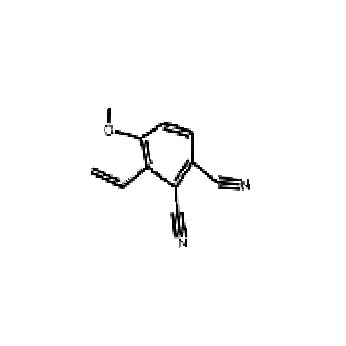 C=Cc1c(OC)ccc(C#N)c1C#N